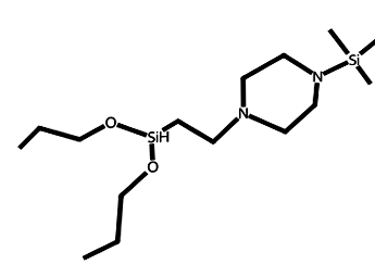 CCCO[SiH](CCN1CCN([Si](C)(C)C)CC1)OCCC